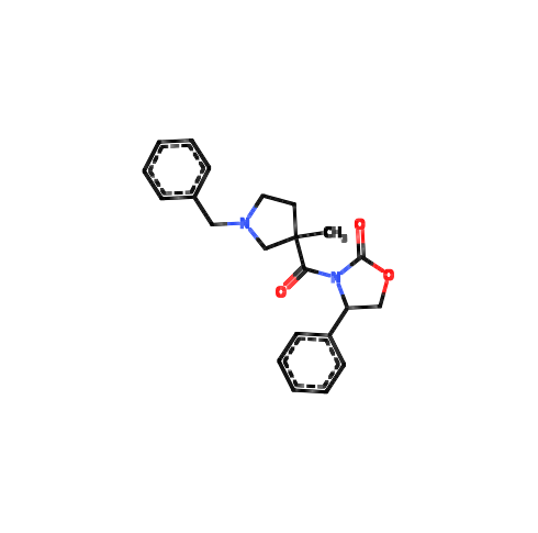 CC1(C(=O)N2C(=O)OCC2c2ccccc2)CCN(Cc2ccccc2)C1